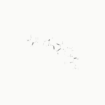 O=C(NC[C@H]1CN(c2cc(F)c(N3CCON(C(=O)C(O)CO)CC3)c(F)c2)C(=O)O1)C(F)F